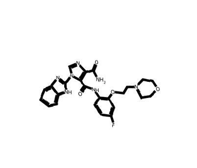 NC(=O)c1ncn(-c2nc3ccccc3[nH]2)c1C(=O)Nc1ccc(F)cc1OCCN1CCOCC1